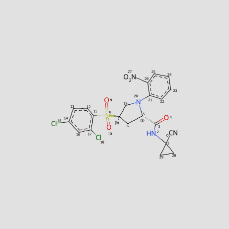 N#CC1(NC(=O)[C@@H]2C[C@@H](S(=O)(=O)c3ccc(Cl)cc3Cl)CN2c2ccccc2[N+](=O)[O-])CC1